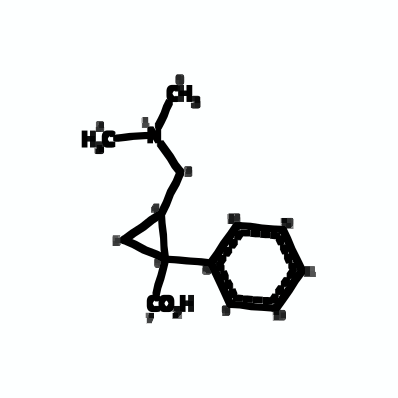 CN(C)CC1CC1(C(=O)O)c1ccccc1